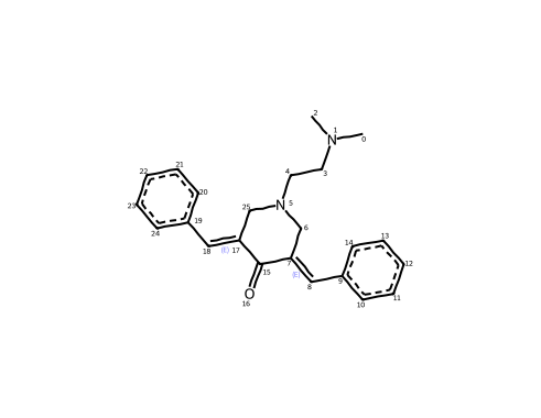 CN(C)CCN1C/C(=C\c2ccccc2)C(=O)/C(=C/c2ccccc2)C1